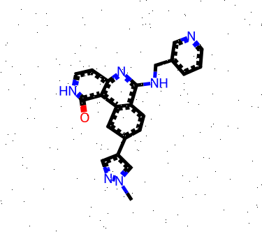 Cn1cc(-c2ccc3c(NCc4cccnc4)nc4cc[nH]c(=O)c4c3c2)cn1